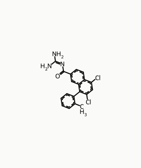 Cc1ccccc1-c1c(Cl)cc(Cl)c2ccc(C(=O)N=C(N)N)cc12